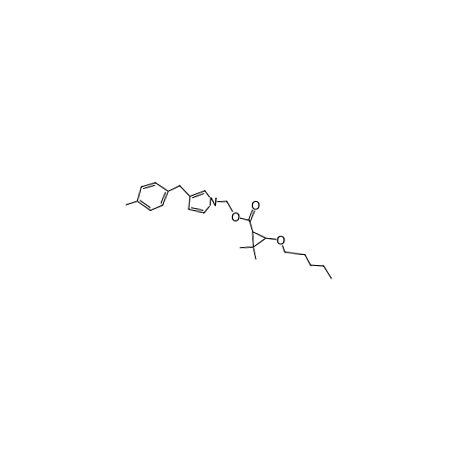 CCCCCOC1C(C(=O)OCn2ccc(Cc3ccc(C)cc3)c2)C1(C)C